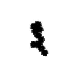 c1ccc(-c2ccc(-c3cc(-c4cccc(-c5ccc(-c6ccc7c(c6)C6(c8ccccc8-c8ccccc86)c6ccccc6-7)cc5)c4)nc(-c4ccccc4)n3)cc2)cc1